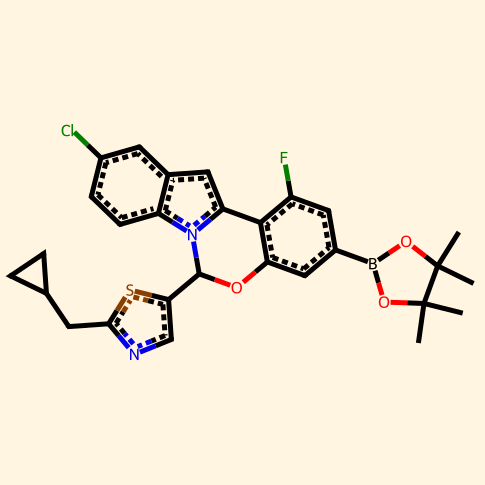 CC1(C)OB(c2cc(F)c3c(c2)OC(c2cnc(CC4CC4)s2)n2c-3cc3cc(Cl)ccc32)OC1(C)C